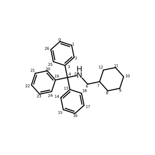 c1ccc(C(NCC2CCCCC2)(c2ccccc2)c2ccccc2)cc1